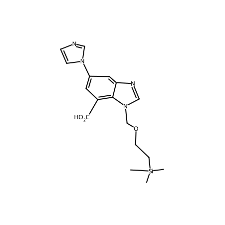 C[Si](C)(C)CCOCn1cnc2cc(-n3ccnc3)cc(C(=O)O)c21